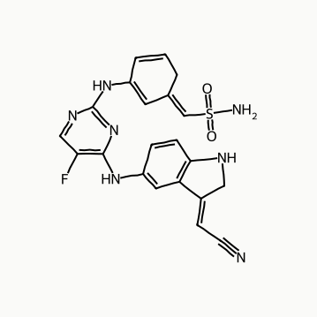 N#CC=C1CNc2ccc(Nc3nc(NC4=CC(=CS(N)(=O)=O)CC=C4)ncc3F)cc21